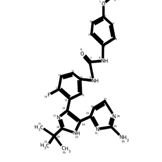 COc1ccc(NC(=O)Nc2ccc(F)c(-c3nc(C(C)(C)C)[nH]c3-c3ccnc(N)n3)c2)cc1